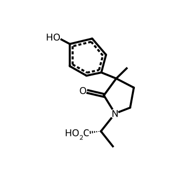 C[C@H](C(=O)O)N1CCC(C)(c2ccc(O)cc2)C1=O